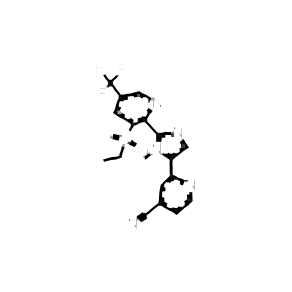 CCS(=O)(=O)c1cc(C(F)(F)F)cnc1-c1ncc(-c2cc(C#N)ccn2)n1C